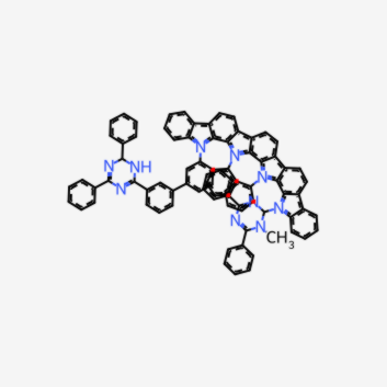 CN1C(c2ccccc2)=NC(c2ccccc2)=NC1n1c2ccccc2c2ccc3c4ccc5c6ccc7c8ccccc8n(-c8cccc(-c9cccc(C%10=NC(c%11ccccc%11)=NC(c%11ccccc%11)N%10)c9)c8)c7c6n(-c6ccccc6)c5c4n(-c4ccccc4)c3c21